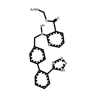 CCCN(Cc1ccc(-c2ccccc2-c2nnn[nH]2)cc1)c1ncccc1C(=O)OCNC(C)=O